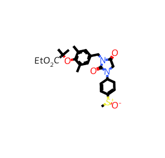 CCOC(=O)C(C)(C)Oc1c(C)cc(CN2C(=O)CN(C3C=CC([S+](C)[O-])=CC3)C2=O)cc1C